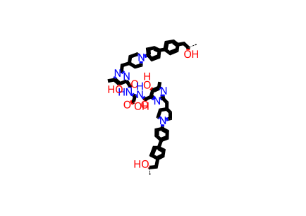 Cc1nc(CC2CCN(c3ccc(-c4ccc(C[C@H](C)O)cc4)cc3)CC2)nc(C(=O)NC(NC(=O)c2nc(CC3CCN(c4ccc(-c5ccc(C[C@H](C)O)cc5)cc4)CC3)nc(C)c2O)C(=O)O)c1O